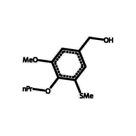 CCCOc1c(OC)cc(CO)cc1SC